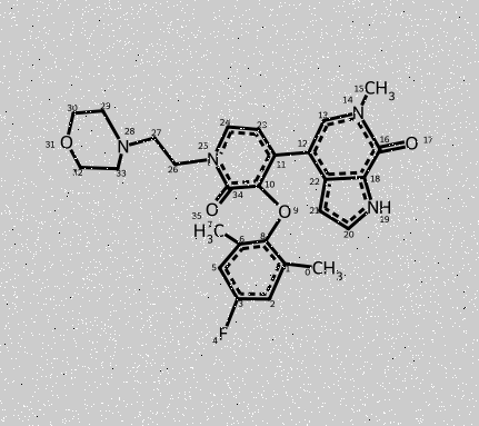 Cc1cc(F)cc(C)c1Oc1c(-c2cn(C)c(=O)c3[nH]ccc23)ccn(CCN2CCOCC2)c1=O